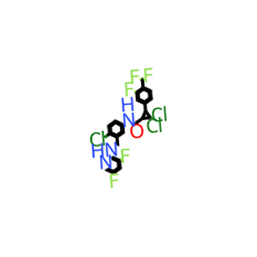 O=C(Nc1ccc(Cl)c(CNc2ncc(F)cc2F)c1)C1C(c2ccc(C(F)F)c(F)c2)C1(Cl)Cl